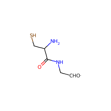 NC(CS)C(=O)NC[C]=O